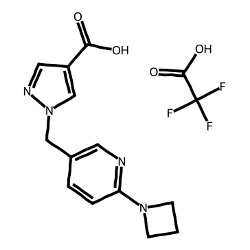 O=C(O)C(F)(F)F.O=C(O)c1cnn(Cc2ccc(N3CCC3)nc2)c1